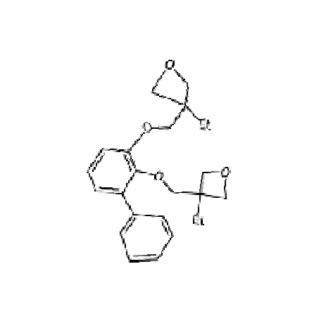 CCC1(COc2cccc(-c3ccccc3)c2OCC2(CC)COC2)COC1